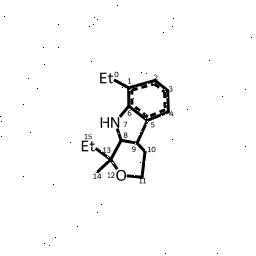 CCc1cccc2c1NC1C2CCOC1(C)CC